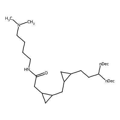 CCCCCCCCCCC(CCCCCCCCCC)CCC1CC1CC1CC1CC(=O)NCCCCN(C)C